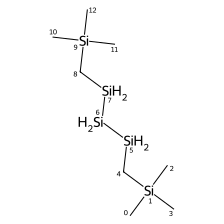 C[Si](C)(C)C[SiH2][SiH2][SiH2]C[Si](C)(C)C